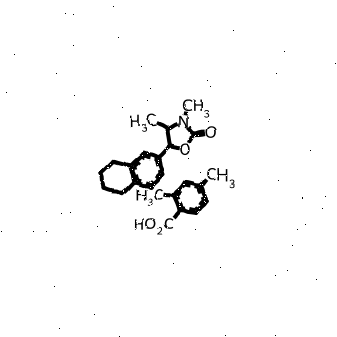 CC1C(c2ccc3c(c2)CCCC3)OC(=O)N1C.Cc1ccc(C(=O)O)c(C)c1